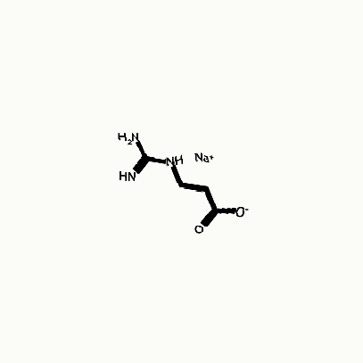 N=C(N)NCCC(=O)[O-].[Na+]